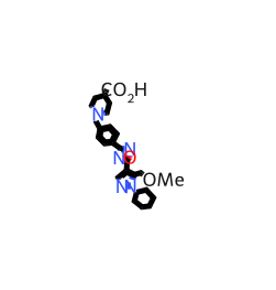 COCc1c(-c2nc(-c3ccc(CN4CCC(C(=O)O)CC4)cc3)no2)cnn1C1CCCCC1